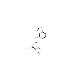 Nc1[nH]c(Nc2cccc3[nH]ccc23)nc2ncnc1-2